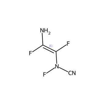 N#CN(F)/C(F)=C(/N)F